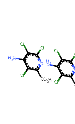 Nc1c(Cl)c(Cl)nc(C(=O)O)c1Cl.Nc1c(Cl)c(Cl)nc(C(=O)O)c1Cl